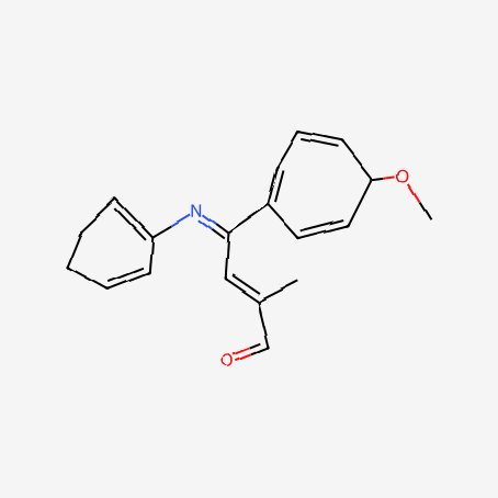 COC1C=CC=C(C(/C=C(\C)C=O)=N/C2=CCCC=C2)C=C1